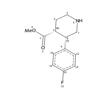 COC(=O)[C@@H]1CCNC[C@@H]1c1ccc(F)cc1